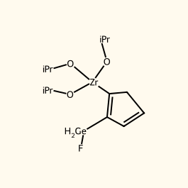 CC(C)[O][Zr]([O]C(C)C)([O]C(C)C)[C]1=[C]([GeH2][F])C=CC1